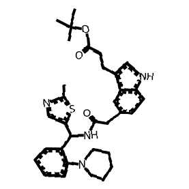 Cc1ncc(C(NC(=O)Cc2ccc3[nH]cc(CCC(=O)OC(C)(C)C)c3c2)c2ccccc2N2CCCCC2)s1